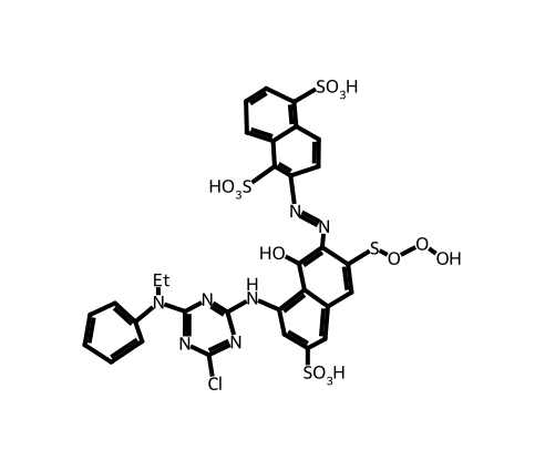 CCN(c1ccccc1)c1nc(Cl)nc(Nc2cc(S(=O)(=O)O)cc3cc(SOOO)c(N=Nc4ccc5c(S(=O)(=O)O)cccc5c4S(=O)(=O)O)c(O)c23)n1